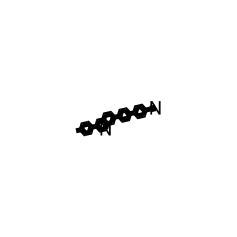 Cc1ccc(-c2cnc3cc(-c4ccc(-c5ccc(C#N)cc5)cc4)ccc3c2)cc1